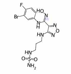 NS(=O)(=O)NCCCNc1nonc1/C(=N/O)Nc1ccc(F)c(Br)c1